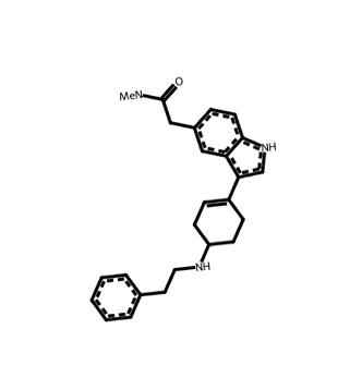 CNC(=O)Cc1ccc2[nH]cc(C3=CCC(NCCc4ccccc4)CC3)c2c1